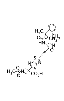 Cc1ccccc1C(C)OC(=O)Nc1c(C)noc1C#Cc1nc2sc(C3(C(=O)O)CN(S(C)(=O)=O)C3)nc2s1